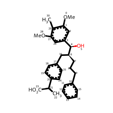 COc1cc([C@@H](O)[C@@H](CCCc2ccccc2)Cc2ccc(C(C)C(=O)O)cc2)cc(OC)c1C